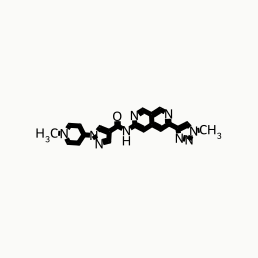 CN1CCC(n2cc(C(=O)Nc3cc4cc(-c5cn(C)nn5)ncc4cn3)cn2)CC1